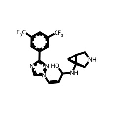 OC(/C=C\n1cnc(-c2cc(C(F)(F)F)cc(C(F)(F)F)c2)n1)NC12C3CNC1C32